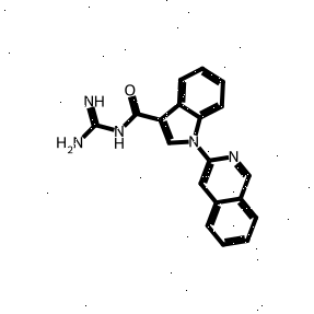 N=C(N)NC(=O)c1cn(-c2cc3ccccc3cn2)c2ccccc12